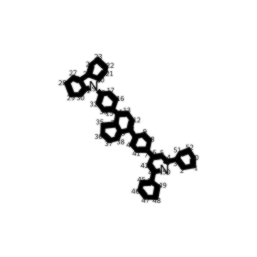 c1ccc(-c2cc(-c3ccc(-c4ccc(-c5ccc(-n6c7ccccc7c7ccccc76)cc5)c5ccccc45)cc3)cc(-c3ccccc3)n2)cc1